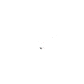 CCCCCCCCCCCCCCCCCCCCCCCCCCC[CH2][Pd][CH2]CCCCCCCCCCCCCCCCCCCCCCCCCCC.CCCCCCCCc1c(CCCCC)cc(C2=CC(CCCCC)=C(c3cc(CCCCC)c(CCCCCCCC)c(CCCCC)c3)[N+]2=[N-])cc1CCCCC